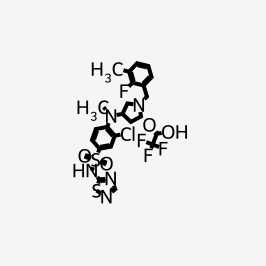 Cc1cccc(CN2CCC(N(C)c3ccc(S(=O)(=O)Nc4ncns4)cc3Cl)C2)c1F.O=C(O)C(F)(F)F